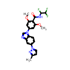 COc1cc(-n2cnc3cc(-n4ccc(C)n4)ccc32)cc(OC)c1C(=O)NC(F)C(F)F